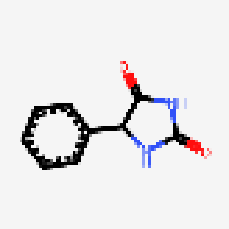 O=C1NC(=O)C(c2cc[c]cc2)N1